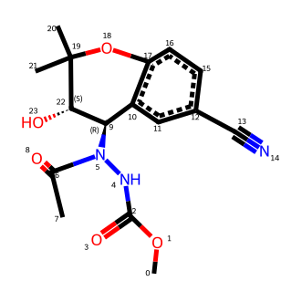 COC(=O)NN(C(C)=O)[C@@H]1c2cc(C#N)ccc2OC(C)(C)[C@H]1O